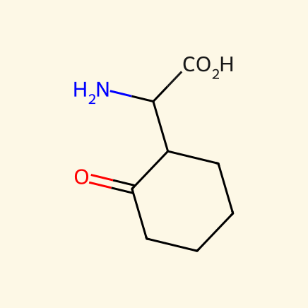 NC(C(=O)O)C1CCCCC1=O